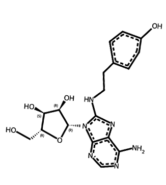 Nc1ncnc2c1nc(NCCc1ccc(O)cc1)n2[C@@H]1O[C@H](CO)[C@@H](O)[C@H]1O